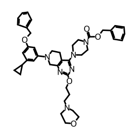 O=C(OCc1ccccc1)N1CCN(c2nc(OCCCN3CCOCC3)nc3c2CCN(c2cc(OCc4ccccc4)cc(C4CC4)c2)C3)CC1